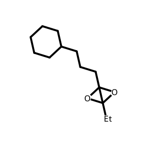 CCC12OC1(CCCC1CCCCC1)O2